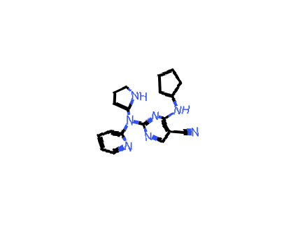 N#Cc1cnc(N(c2ccccn2)C2CCCN2)nc1NC1CCCC1